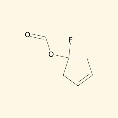 O=COC1(F)CC=CC1